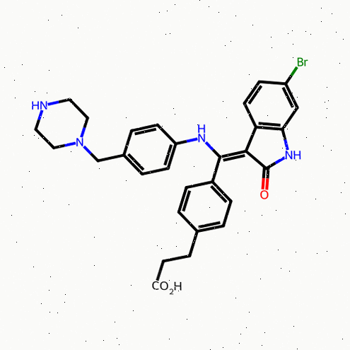 O=C(O)CCc1ccc(C(Nc2ccc(CN3CCNCC3)cc2)=C2C(=O)Nc3cc(Br)ccc32)cc1